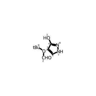 CC(C)(C)OC=O.Oc1cc[nH]n1